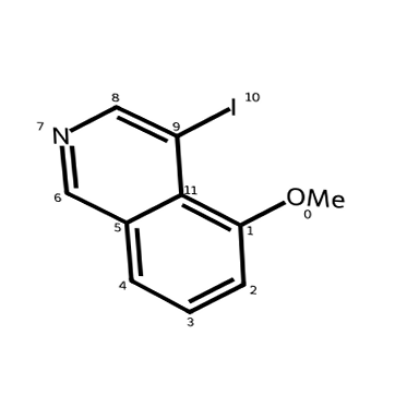 COc1cccc2cncc(I)c12